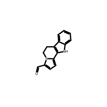 O=Cc1ccc2n1CCc1c-2[nH]c2ccccc12